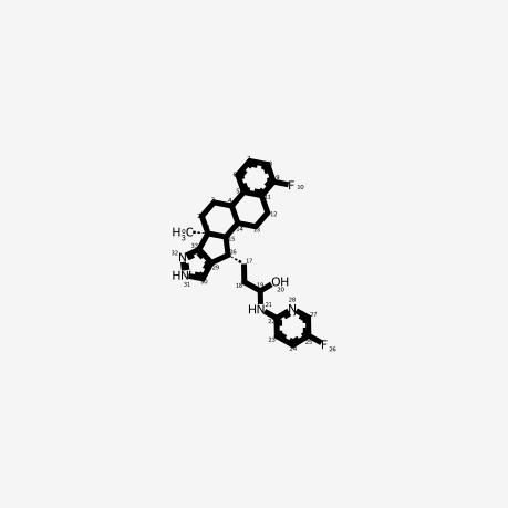 C[C@]12CCC3c4cccc(F)c4CCC3C1[C@H](CCC(O)Nc1ccc(F)cn1)c1c[nH]nc12